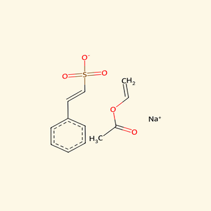 C=COC(C)=O.O=S(=O)([O-])C=Cc1ccccc1.[Na+]